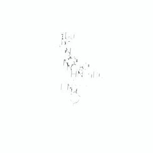 CCCCC(Cc1c[nH]c2ccccc12)NC(=O)c1nnc(N2CCN(C(C)(C)C)CC2)s1